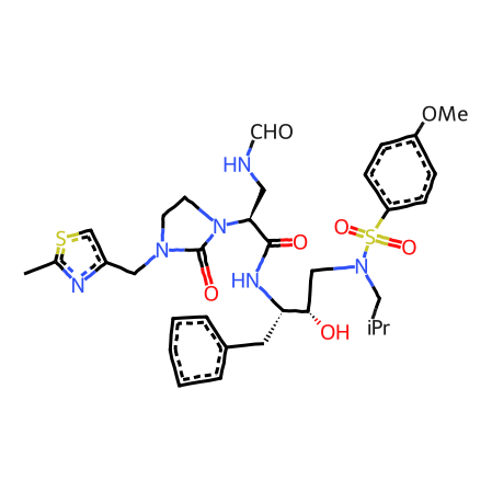 COc1ccc(S(=O)(=O)N(CC(C)C)C[C@H](O)[C@H](Cc2ccccc2)NC(=O)[C@H](CNC=O)N2CCN(Cc3csc(C)n3)C2=O)cc1